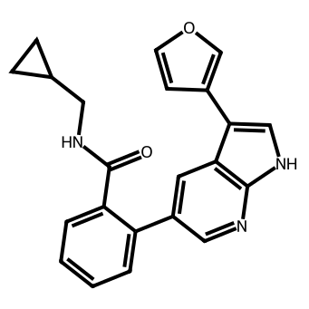 O=C(NCC1CC1)c1ccccc1-c1cnc2[nH]cc(-c3ccoc3)c2c1